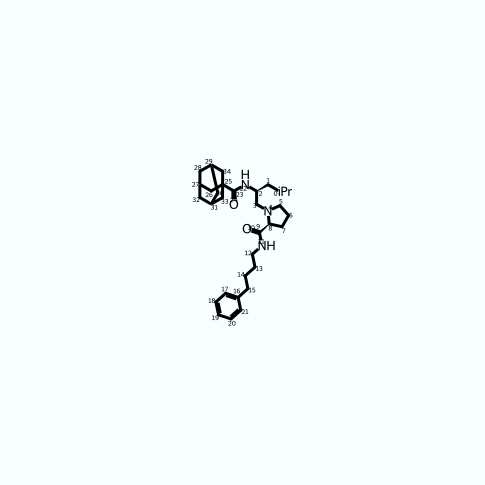 CC(C)C[C@@H](CN1CCC[C@H]1C(=O)NCCCCc1ccccc1)NC(=O)C12CC3CC(CC(C3)C1)C2